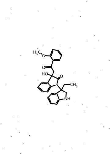 CCC1(N2C(=O)C(O)(CC(=O)c3ccccc3OC)c3ccccc32)CNc2ccccc21